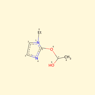 CCn1ccnc1OC(C)O